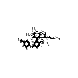 CCCOC(=O)OC1=C(c2cc(Oc3ccc(C#N)cc3F)ccc2CC)C(=O)C(C)(C)OC1(C)C